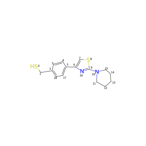 SCc1ccc(-c2csc(N3CCCCC3)n2)cc1